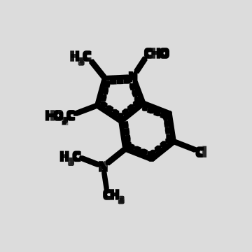 Cc1c(C(=O)O)c2c(N(C)C)cc(Cl)cc2n1C=O